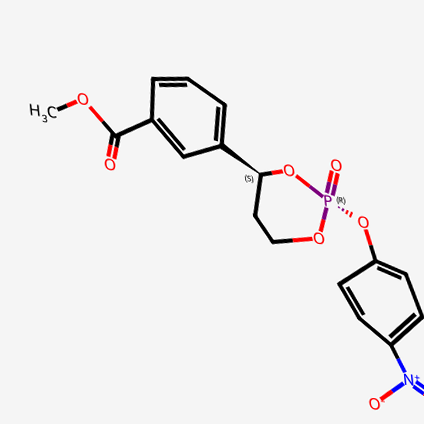 COC(=O)c1cccc([C@@H]2CCO[P@@](=O)(Oc3ccc([N+](=O)[O-])cc3)O2)c1